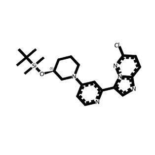 CC(C)(C)[Si](C)(C)O[C@H]1CCCN(c2ccnc(-c3cnc4ccc(Cl)nn34)c2)C1